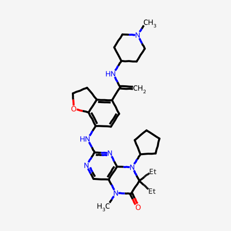 C=C(NC1CCN(C)CC1)c1ccc(Nc2ncc3c(n2)N(C2CCCC2)C(CC)(CC)C(=O)N3C)c2c1CCO2